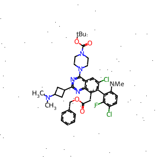 CNc1ccc(Cl)c(F)c1-c1c(Cl)cc2c(N3CCN(C(=O)OC(C)(C)C)CC3)nc(C3CC(N(C)C)C3)nc2c1CC(=O)OCc1ccccc1